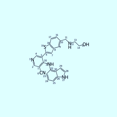 N#Cc1cncc(-c2cc3cc(CNCCO)ccc3s2)c1Nc1cccc2[nH]ccc12